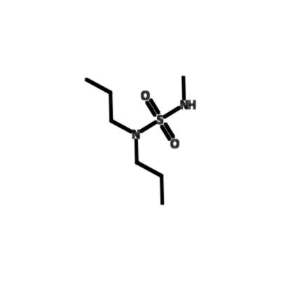 CCCN(CCC)S(=O)(=O)NC